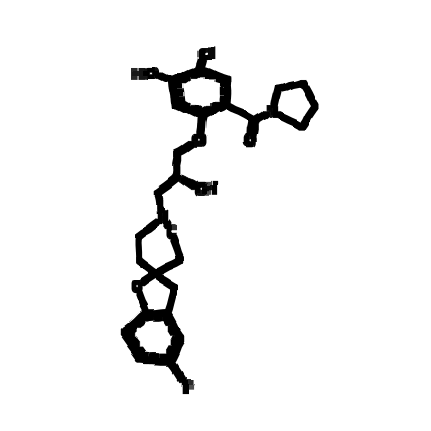 O=C(c1cc(Cl)c(O)cc1OC[C@@H](O)CN1CCC2(CC1)Cc1cc(F)ccc1O2)N1CCCC1